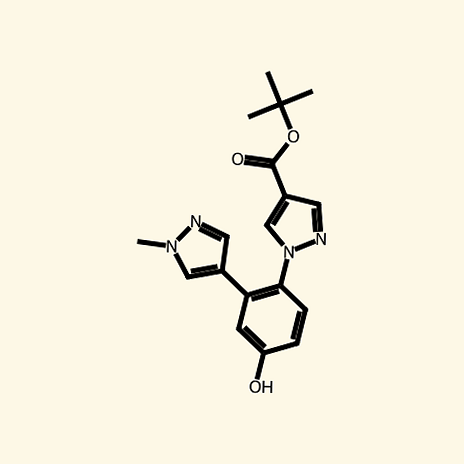 Cn1cc(-c2cc(O)ccc2-n2cc(C(=O)OC(C)(C)C)cn2)cn1